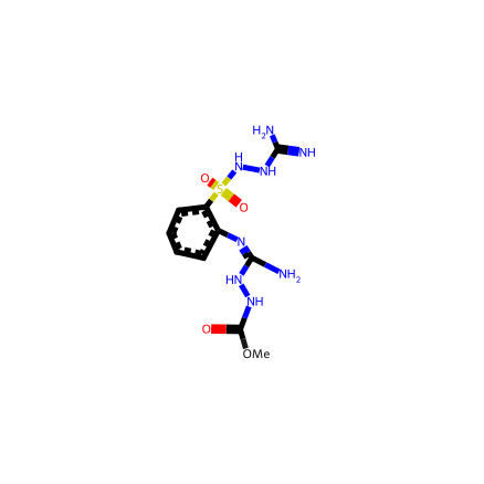 COC(=O)NNC(N)=Nc1ccccc1S(=O)(=O)NNC(=N)N